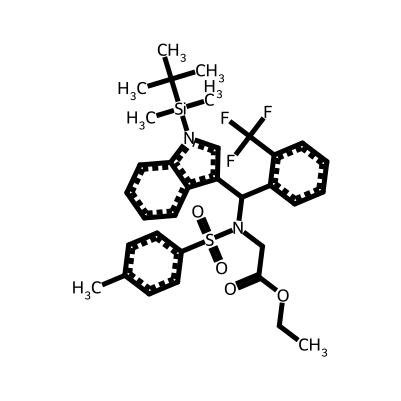 CCOC(=O)CN(C(c1ccccc1C(F)(F)F)c1cn([Si](C)(C)C(C)(C)C)c2ccccc12)S(=O)(=O)c1ccc(C)cc1